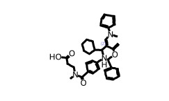 C=C(OCc1ccccc1)/C(=C\N(C)c1ccccc1)C(Nc1ccc(C(=O)N(C)CCC(=O)O)cc1)C1CCCCC1